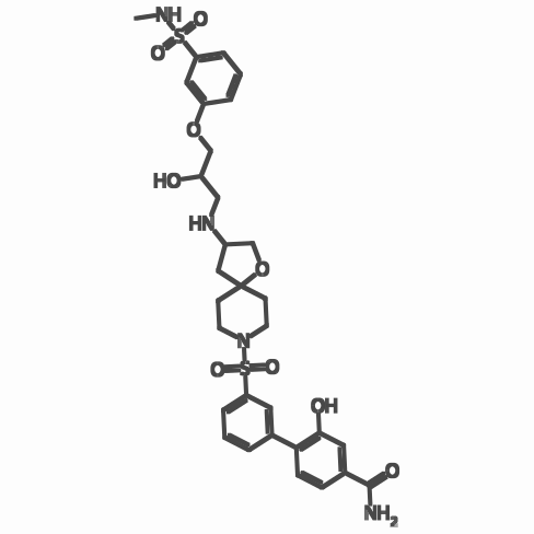 CNS(=O)(=O)c1cccc(OCC(O)CNC2COC3(CCN(S(=O)(=O)c4cccc(-c5ccc(C(N)=O)cc5O)c4)CC3)C2)c1